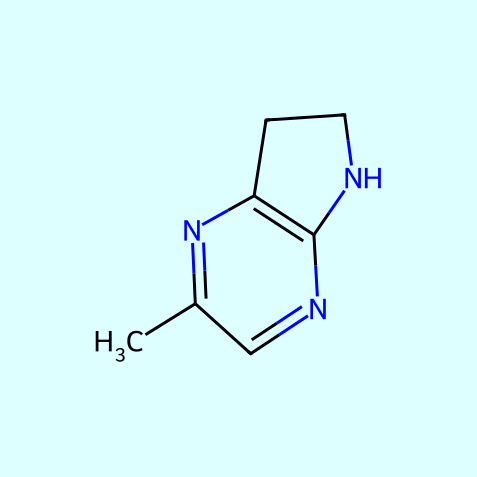 Cc1cnc2c(n1)CCN2